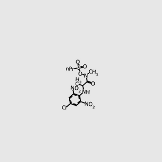 CCCS(=O)(=O)ON(C)C(=O)C(C)Nc1c([N+](=O)[O-])cc(Cl)cc1[N+](=O)[O-]